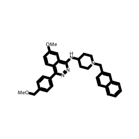 COCc1ccc(-c2nnc(NC3CCN(Cc4ccc5ccccc5c4)CC3)c3cc(OC)ccc23)cc1